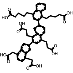 O=C(O)CCCCc1cc(-c2ccc3c(CCC(=O)O)cc(-c4ccc5c(CC(=O)O)ccc(CC(=O)O)c5c4)c(CCC(=O)O)c3c2)c(CCCCC(=O)O)c2ccccc12